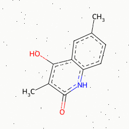 Cc1ccc2[nH]c(=O)c(C)c(O)c2c1